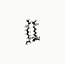 CC(C)NCCCCCCNC(C)C.CCC(C)NCCCCCCNC(C)CC